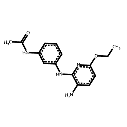 CCOc1ccc(N)c(Nc2cccc(NC(C)=O)c2)n1